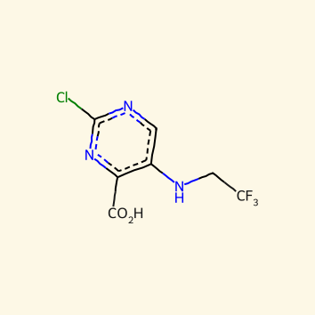 O=C(O)c1nc(Cl)ncc1NCC(F)(F)F